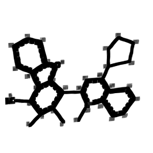 Cc1c(C)c(C#N)c2c(oc3ccccc32)c1-c1cc(C2CCCC2)c2ccccc2[n+]1C